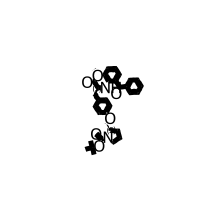 COC(=O)[C@H](Cc1ccc(OC[C@@H]2CCCN2C(=O)OC(C)(C)C)cc1)Nc1ccccc1C(=O)c1ccccc1